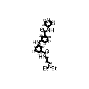 CCN(CC)CCCNC(=O)c1cccc(Nc2cccc(C(=O)Nc3ccncc3)c2)c1